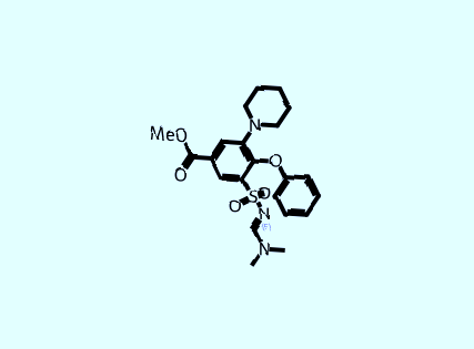 COC(=O)c1cc(N2CCCCC2)c(Oc2ccccc2)c(S(=O)(=O)/N=C/N(C)C)c1